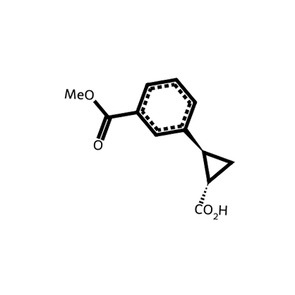 COC(=O)c1cccc([C@H]2C[C@@H]2C(=O)O)c1